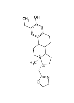 CCc1cc2c(cc1O)CCC1C2CC[C@@]2(C)C1CC[C@@H]2CC1=NCCO1